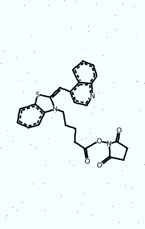 O=C(CCCCN1C(=Cc2ccnc3ccccc23)Sc2ccccc21)ON1C(=O)CCC1=O